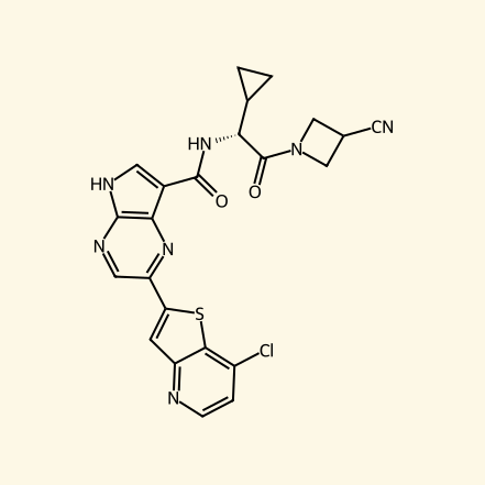 N#CC1CN(C(=O)[C@H](NC(=O)c2c[nH]c3ncc(-c4cc5nccc(Cl)c5s4)nc23)C2CC2)C1